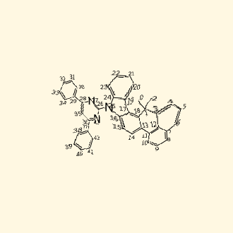 CC1(C)c2cccc3cccc(c23)-c2ccc3c(c21)c1ccccc1n3-c1nc(-c2ccccc2)cc(-c2ccccc2)n1